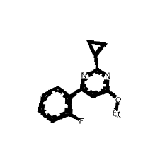 CCOc1cc(-c2ccccc2F)nc(C2CC2)n1